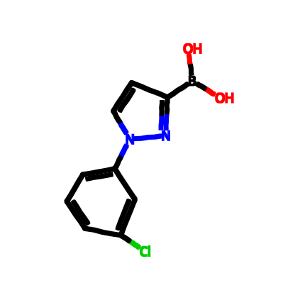 OB(O)c1ccn(-c2cccc(Cl)c2)n1